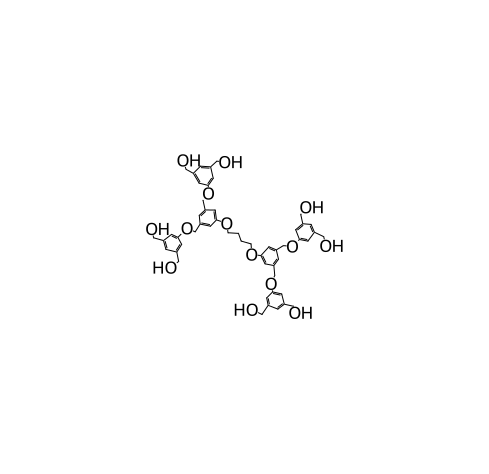 OCc1cc(CO)cc(OCc2cc(COc3cc(CO)cc(CO)c3)cc(OCCCCOc3cc(COc4cc(CO)cc(CO)c4)cc(COc4cc(CO)cc(CO)c4)c3)c2)c1